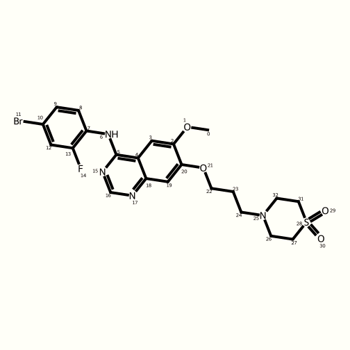 COc1cc2c(Nc3ccc(Br)cc3F)ncnc2cc1OCCCN1CCS(=O)(=O)CC1